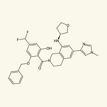 Cn1cnc(-c2cc3c(c(N[C@H]4CCOC4)c2)CN(C(=O)c2c(O)cc(C(F)F)cc2OCc2ccccc2)CC3)c1